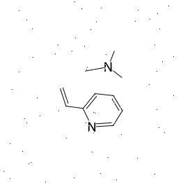 C=Cc1ccccn1.CN(C)C